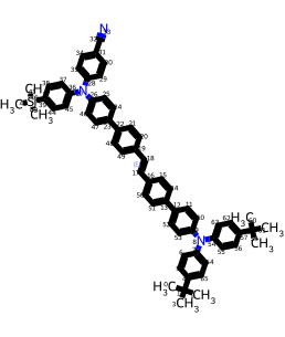 CC(C)(C)c1ccc(N(c2ccc(-c3ccc(/C=C/c4ccc(-c5ccc(N(c6ccc(C#N)cc6)c6ccc([Si](C)(C)C)cc6)cc5)cc4)cc3)cc2)c2ccc(C(C)(C)C)cc2)cc1